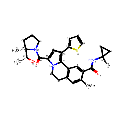 COc1cc2c(cc1C(=O)NC1(C#N)CC1)-c1c(-c3cccs3)cc(C(=O)N3CCC[C@]3(C)[C@@H](C)O)n1CC2